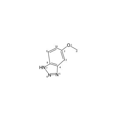 COc1[c]c2nn[nH]c2cc1